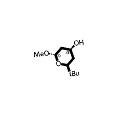 CO[C@@H]1C[C@@H](O)CC(C(C)(C)C)O1